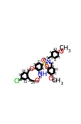 COc1ccc(CN(Cc2ccc(OC)cc2)S(=O)(=O)c2ccc3c(c2)NCOCCc2cc(Cl)ccc2CO3)cc1